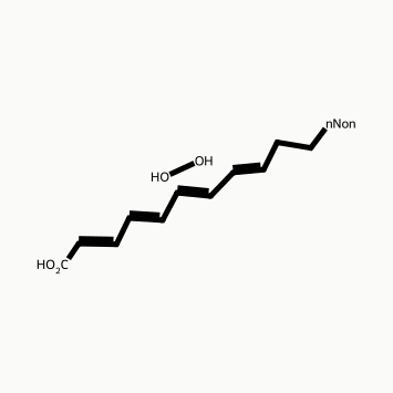 CCCCCCCCCCCC=CC=CC=CC=CC(=O)O.OO